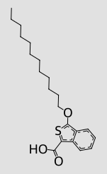 CCCCCCCCCCCCOc1sc(C(=O)O)c2ccccc12